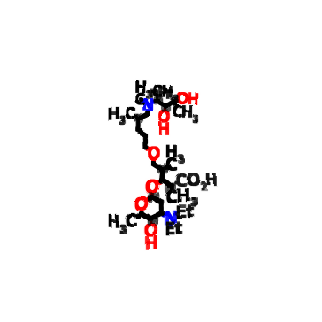 CCCC(C)(O)[C@H](O)[C@@H](C)N(C)C[C@H](C)CCCOC[C@@H](C)C(O[C@H]1CC(N(CC)CC)[C@H](O)C(C)O1)[C@@H](C)C(=O)O